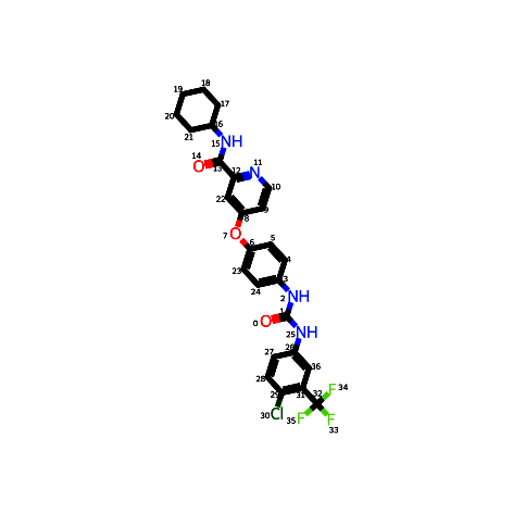 O=C(Nc1ccc(Oc2ccnc(C(=O)NC3CCCCC3)c2)cc1)Nc1ccc(Cl)c(C(F)(F)F)c1